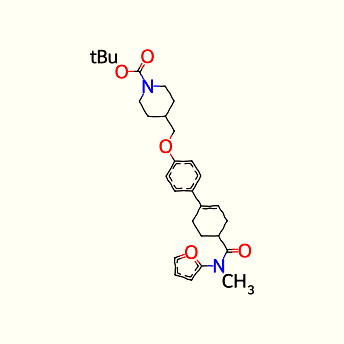 CN(C(=O)C1CC=C(c2ccc(OCC3CCN(C(=O)OC(C)(C)C)CC3)cc2)CC1)c1ccco1